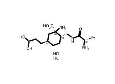 CC(C)[C@H](N)C(=O)NC[C@@H]1CC[C@@H](CCB(O)O)C[C@]1(N)C(=O)O.Cl.Cl